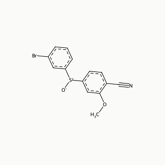 COc1cc([S+]([O-])c2cccc(Br)c2)ccc1C#N